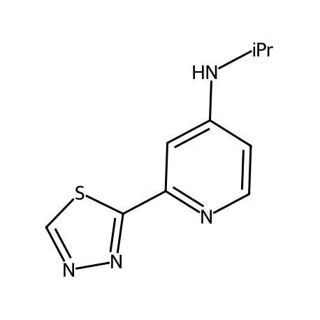 CC(C)Nc1ccnc(-c2nncs2)c1